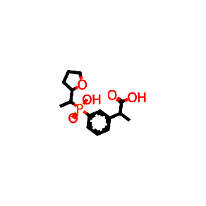 CC(C(=O)O)c1cccc(P(=O)(O)C(C)C2CCCO2)c1